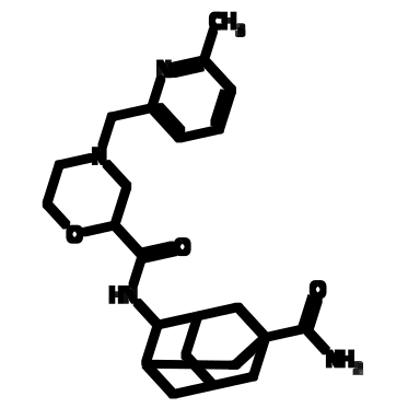 Cc1cccc(CN2CCOC(C(=O)NC3C4CC5CC3CC(C(N)=O)(C5)C4)C2)n1